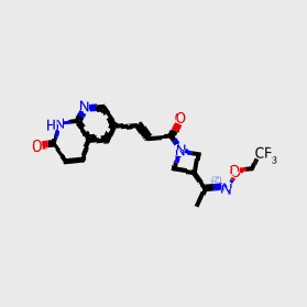 C/C(=N/OCC(F)(F)F)C1CN(C(=O)C=Cc2cnc3c(c2)CCC(=O)N3)C1